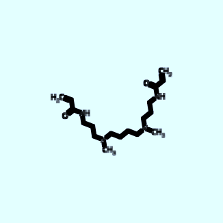 C=CC(=O)NCCCN(C)CCCCN(C)CCCNC(=O)C=C